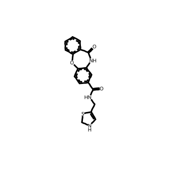 O=C(NCC1=CNCS1)c1ccc2c(c1)NC(=O)c1ccccc1O2